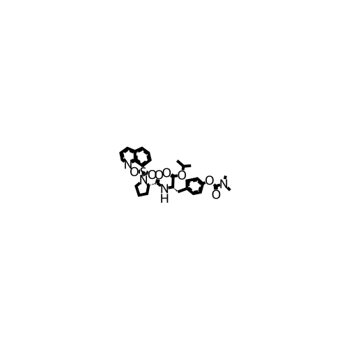 CC(C)OC(=O)[C@H](Cc1ccc(OC(=O)N(C)C)cc1)NC(=O)[C@@H]1CCCN1S(=O)(=O)c1cccc2cccnc12